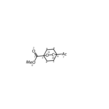 COC(=O)C12CCC(C(C)=O)(CC1)CO2